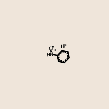 F.FC(F)(F)Nc1ccccc1